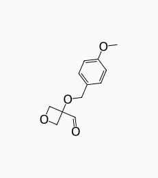 COc1ccc(COC2(C=O)COC2)cc1